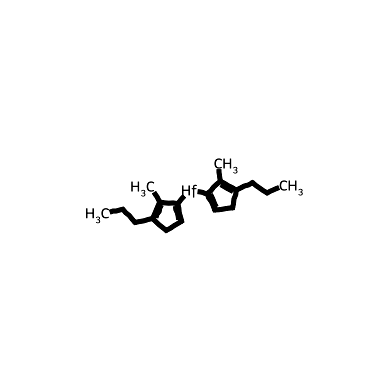 CCCC1=C(C)[C]([Hf][C]2=CCC(CCC)=C2C)=CC1